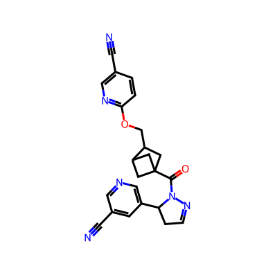 N#Cc1ccc(OCC2CC3(C(=O)N4N=CCC4c4cncc(C#N)c4)CC2C3)nc1